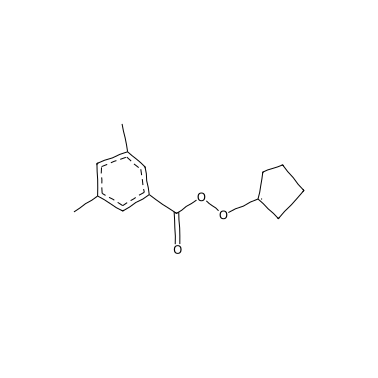 Cc1cc(C)cc(C(=O)OO[C]2CCCC2)c1